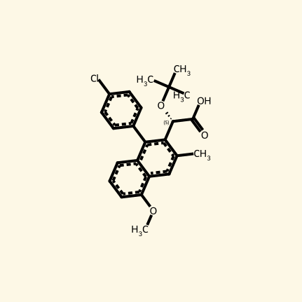 COc1cccc2c(-c3ccc(Cl)cc3)c([C@H](OC(C)(C)C)C(=O)O)c(C)cc12